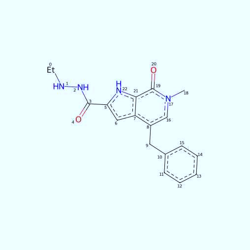 CCNNC(=O)c1cc2c(Cc3ccccc3)cn(C)c(=O)c2[nH]1